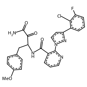 COc1ccc(CC(NC(=O)c2cccnc2-n2ccc(-c3cccc(F)c3Cl)n2)C(=O)C(N)=O)cc1